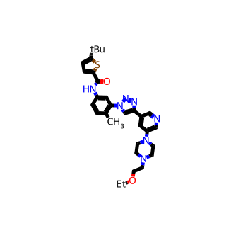 CCOCCN1CCN(c2cncc(-c3cn(-c4cc(NC(=O)c5ccc(C(C)(C)C)s5)ccc4C)nn3)c2)CC1